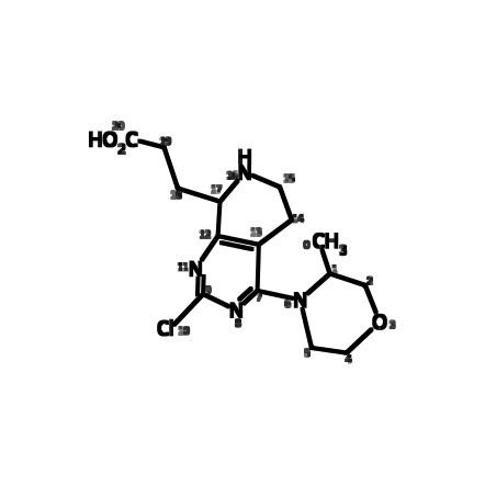 CC1COCCN1c1nc(Cl)nc2c1CCNC2CCC(=O)O